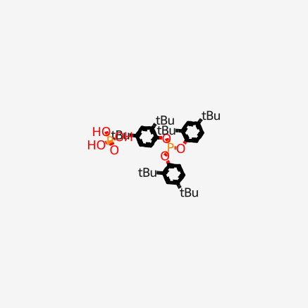 CC(C)(C)c1ccc(OP(Oc2ccc(C(C)(C)C)cc2C(C)(C)C)Oc2ccc(C(C)(C)C)cc2C(C)(C)C)c(C(C)(C)C)c1.O=P(O)(O)O